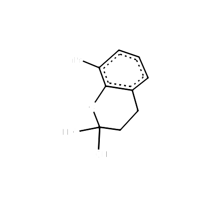 CC(C)c1cccc2c1OC(C)(C)CC2